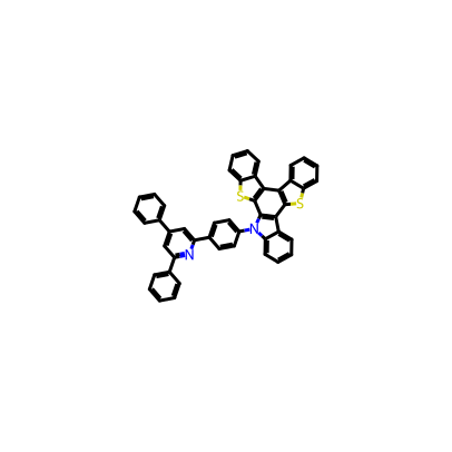 c1ccc(-c2cc(-c3ccccc3)nc(-c3ccc(-n4c5ccccc5c5c6sc7ccccc7c6c6c7ccccc7sc6c54)cc3)c2)cc1